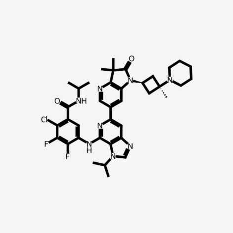 CC(C)NC(=O)c1cc(Nc2nc(-c3cnc4c(c3)N([C@H]3C[C@@](C)(N5CCCCC5)C3)C(=O)C4(C)C)cc3ncn(C(C)C)c23)c(F)c(F)c1Cl